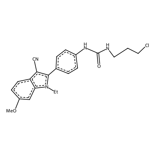 CCn1c(-c2ccc(NC(=O)NCCCCl)cc2)c(C#N)c2ccc(OC)cc21